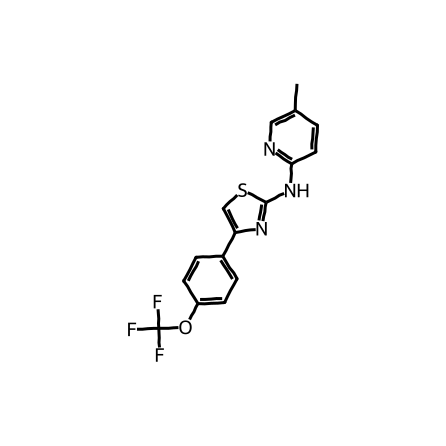 Cc1ccc(Nc2nc(-c3ccc(OC(F)(F)F)cc3)cs2)nc1